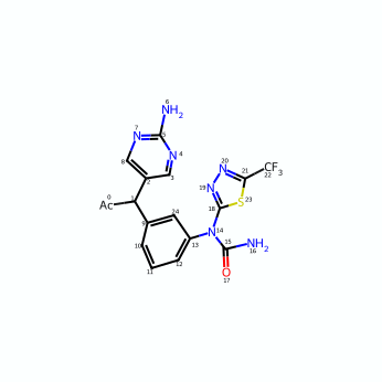 CC(=O)C(c1cnc(N)nc1)c1cccc(N(C(N)=O)c2nnc(C(F)(F)F)s2)c1